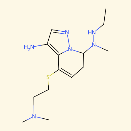 CCNN(C)C1CC=C(SCCN(C)C)c2c(N)cnn21